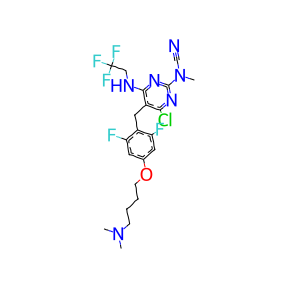 CN(C)CCCCOc1cc(F)c(Cc2c(Cl)nc(N(C)C#N)nc2NCC(F)(F)F)c(F)c1